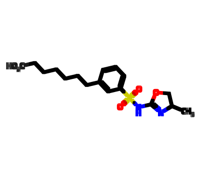 CC1COC(NS(=O)(=O)c2cccc(CCCCCCC(=O)O)c2)=N1